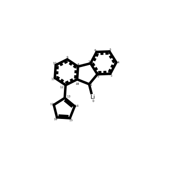 [Li][CH]1c2ccccc2-c2cccc(C3=CC=CC3)c21